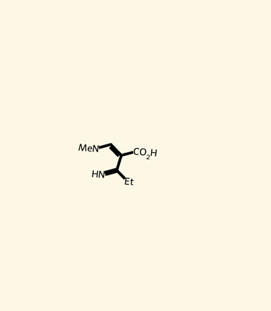 CCC(=N)/C(=C\NC)C(=O)O